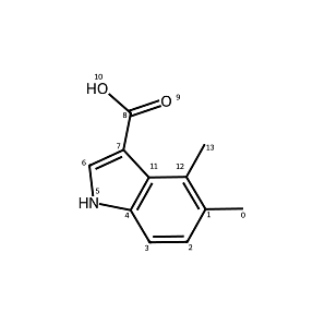 Cc1ccc2[nH]cc(C(=O)O)c2c1C